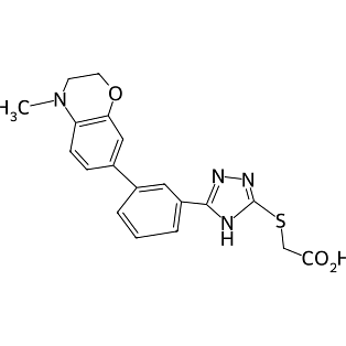 CN1CCOc2cc(-c3cccc(-c4nnc(SCC(=O)O)[nH]4)c3)ccc21